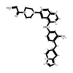 C=CC(=O)N1CCN(c2cc3c(Nc4ccc(Cc5ccn6ncnc6c5)c(C)c4)ncnc3cn2)CC1